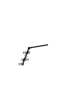 CCCCCCCCCCCCCCCCCCC[N+](C)(C)CCCC(=O)NCCSSCCNC(=O)CCCNC